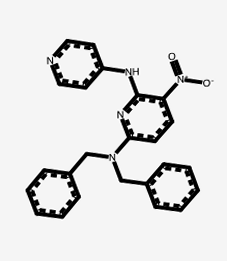 O=[N+]([O-])c1ccc(N(Cc2ccccc2)Cc2ccccc2)nc1Nc1ccncc1